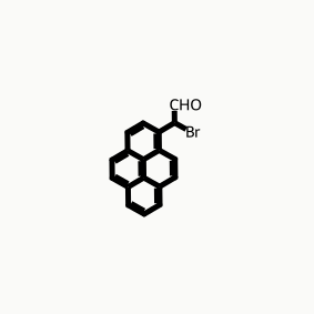 O=CC(Br)c1ccc2ccc3cccc4ccc1c2c34